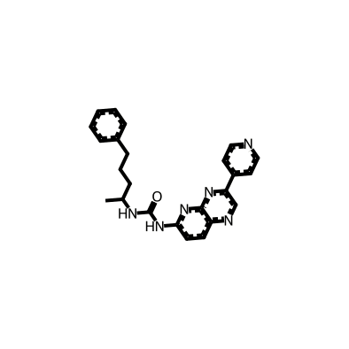 CC(CCCc1ccccc1)NC(=O)Nc1ccc2ncc(-c3ccncc3)nc2n1